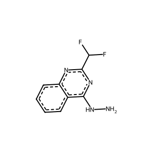 NNc1nc(C(F)F)nc2ccccc12